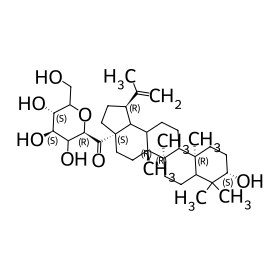 C=C(C)[C@@H]1CC[C@]2(C(=O)[C@@H]3OC(CO)[C@@H](O)[C@H](O)C3O)CC[C@]3(C)C(CCC4[C@@]5(C)CC[C@H](O)C(C)(C)C5CC[C@]43C)C12